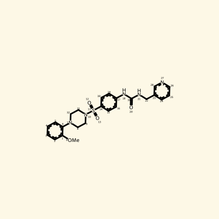 COc1ccccc1N1CCN(S(=O)(=O)c2ccc(NC(=O)NCc3cccnc3)cc2)CC1